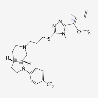 C=CO/C(=C(/C)C=C)c1nnc(SCCCN2CC[C@H]3CCN(c4ccc(C(F)(F)F)cc4)[C@H]3C2)n1C